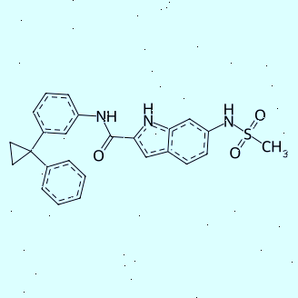 CS(=O)(=O)Nc1ccc2cc(C(=O)Nc3cccc(C4(c5ccccc5)CC4)c3)[nH]c2c1